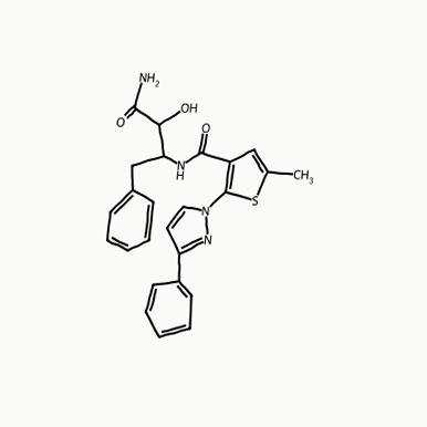 Cc1cc(C(=O)NC(Cc2ccccc2)C(O)C(N)=O)c(-n2ccc(-c3ccccc3)n2)s1